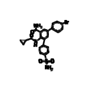 NC(=O)c1cc(-c2ccc(Br)cc2)cc(-c2ccc(S(N)(=O)=O)cc2)c1NC(=O)C1CC1